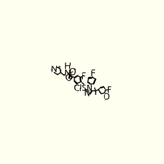 COc1cc(C(C)(C)c2cnc(SCc3c(F)cc(S(=O)(=O)NCC4CC[N+](C)(C)CC4)cc3Cl)n2-c2ccc(F)cc2)ccc1F